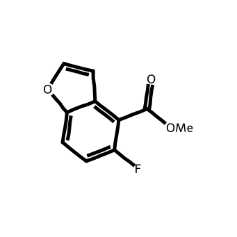 COC(=O)c1c(F)ccc2occc12